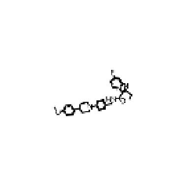 CCc1nc2cc(F)ccn2c1C(=O)NCc1ccc(N2CCC(c3ccc(OC)cc3)CC2)cc1